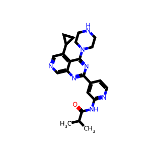 CC(C)C(=O)Nc1cc(-c2nc(N3CCNCC3)c3c(C4CC4)cncc3n2)ccn1